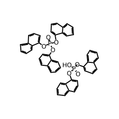 O=P(O)(Oc1cccc2ccccc12)Oc1cccc2ccccc12.O=P(Oc1cccc2ccccc12)(Oc1cccc2ccccc12)Oc1cccc2ccccc12